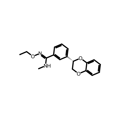 CCO/N=C(\NC)c1cccc([C@H]2COc3ccccc3O2)c1